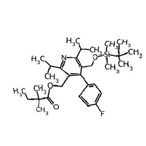 CCC(C)(C)C(=O)OCc1c(C(C)C)nc(C(C)C)c(CO[Si](C)(C)C(C)(C)C)c1-c1ccc(F)cc1